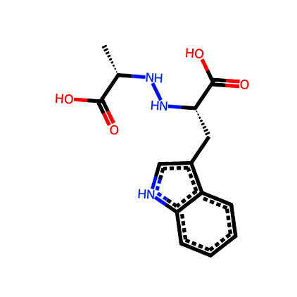 C[C@H](NN[C@@H](Cc1c[nH]c2ccccc12)C(=O)O)C(=O)O